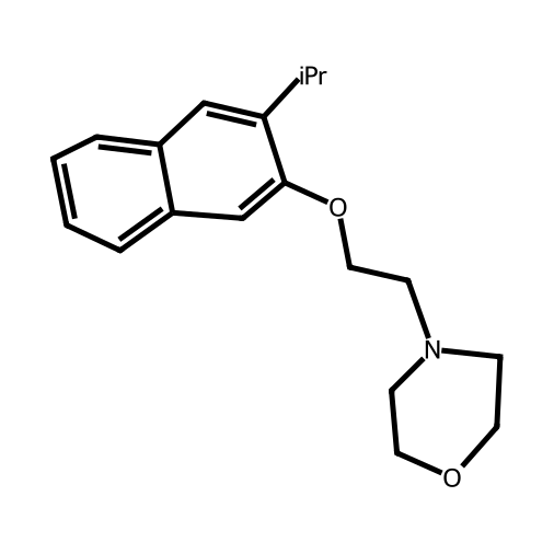 CC(C)c1cc2ccccc2cc1OCCN1CCOCC1